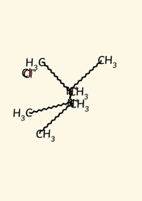 CCCCCCCCCCCCCCCCC[N+](C)(CC=CC[N+](C)(CCCCCCCCCCCCCCCCC)CCCCCCCCCCCCCCCCC)CCCCCCCCCCCCCCCCC.[Cl-].[Cl-]